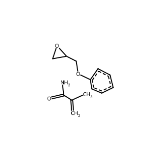 C=C(C)C(N)=O.c1ccc(OCC2CO2)cc1